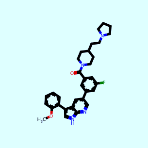 COc1ccccc1-c1c[nH]c2ncc(-c3cc(F)cc(C(=O)N4CCC(CCN5CCCC5)CC4)c3)cc12